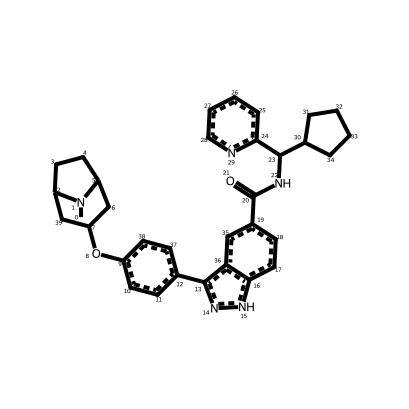 CN1C2CCC1CC(Oc1ccc(-c3n[nH]c4ccc(C(=O)NC(c5ccccn5)C5CCCC5)cc34)cc1)C2